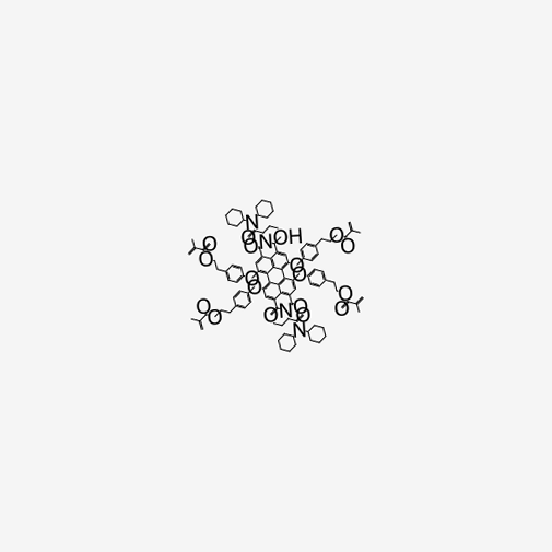 C=C(C)C(=O)OCCc1ccc(Oc2cc3c4c(cc(Oc5ccc(CCOC(=O)C(=C)C)cc5)c5c6c(Oc7ccc(CCOC(=O)C(=C)C)cc7)cc7c8c(cc(Oc9ccc(CCOC(=O)C(=C)C)cc9)c(c2c45)c86)C(=O)N(C(CC)C(=O)N(C2CCCCC2)C2CCCCC2)C7O)C(=O)N(C(CC)C(=O)N(C2CCCCC2)C2CCCCC2)C3=O)cc1